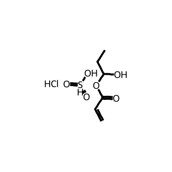 C=CC(=O)OC(O)CC.Cl.O=[SH](=O)O